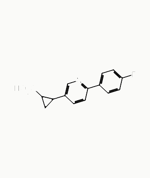 O=C(O)C1CC1c1ccc(-c2ccc(F)cc2)nc1